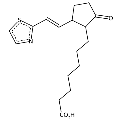 O=C(O)CCCCCCC1C(=O)CCC1C=Cc1nccs1